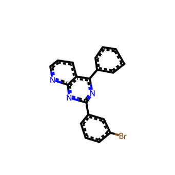 Brc1cccc(-c2nc(-c3ccccc3)c3cccnc3n2)c1